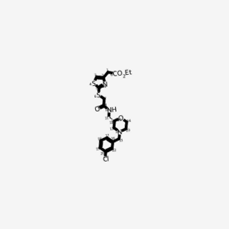 CCOC(=O)Cc1csc(SCC(=O)NC[C@H]2CN(Cc3cccc(Cl)c3)CCO2)n1